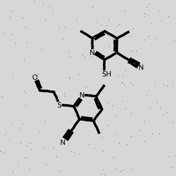 Cc1cc(C)c(C#N)c(S)n1.Cc1cc(C)c(C#N)c(SCC=O)n1